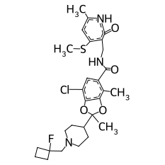 CSc1cc(C)[nH]c(=O)c1CNC(=O)c1cc(Cl)c2c(c1C)OC(C)(C1CCN(CC3(F)CCC3)CC1)O2